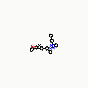 CC1(C)c2cc(-c3ccc4c(c3)c3ccccc3n4-c3nc(-c4ccc(-c5ccccc5)cc4)c4ccccc4n3)ccc2-c2cc3c(cc21)oc1ccccc13